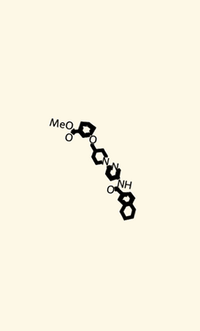 COC(=O)c1cccc(OCC2CCN(c3ccc(NC(=O)c4ccc5c(c4)CCCC5)cn3)CC2)c1